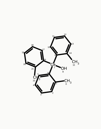 Cc1cccc[c]1[Ge]([OH])([c]1ccccc1C)[c]1ccccc1C